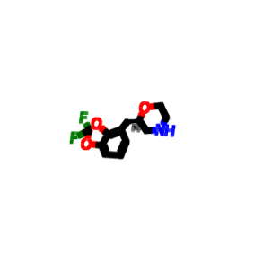 FC1(F)Oc2cccc(C[C@@H]3CNCCO3)c2O1